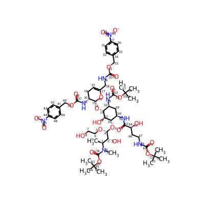 C[C@@H]([C@@H](O)[C@H](OCCO)O[C@@H]1[C@@H](O)[C@H](O[C@H]2OC(CNC(=O)OCc3ccc([N+](=O)[O-])cc3)=CC[C@H]2NC(=O)OCc2ccc([N+](=O)[O-])cc2)[C@@H](NC(=O)OC(C)(C)C)C[C@H]1NC(=O)[C@@H](O)CCNC(=O)OC(C)(C)C)N(C)C(=O)OC(C)(C)C